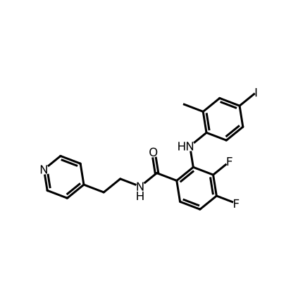 Cc1cc(I)ccc1Nc1c(C(=O)NCCc2ccncc2)ccc(F)c1F